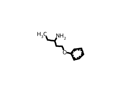 CCC(N)CCOc1ccccc1